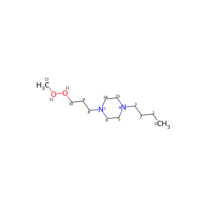 CCCCN1CCN(CCCOOC)CC1